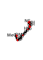 COc1ccc(CC[CH]c2cccc(OCC(=O)NCCOCCOCCOCCOCCOCCNC(=O)c3ccc(S(=O)(=O)Nc4ccc(C)c5c(C#N)c[nH]c45)cc3)c2)cc1OC